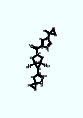 CC1(n2cnc(C(=O)N3C[C@@H]4C(C5=NOC6(CC6)C5)[C@@H]4C3)c2)CC1